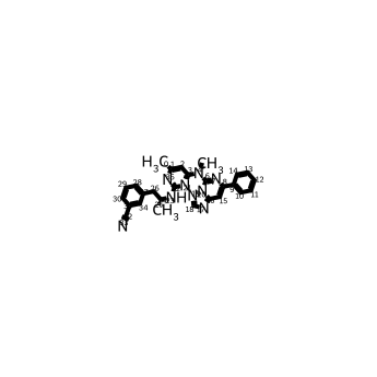 Cc1cc(N(C)c2nc(-c3ccccc3)cc3ncnn23)nc(N[C@@H](C)Cc2cccc(C#N)c2)n1